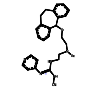 CC(=O)N(CCN/C(=N\c1ccncc1)NC#N)CCOC1c2ccccc2CCc2ccccc21